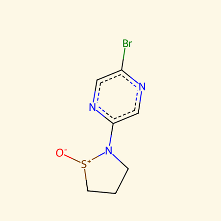 [O-][S+]1CCCN1c1cnc(Br)cn1